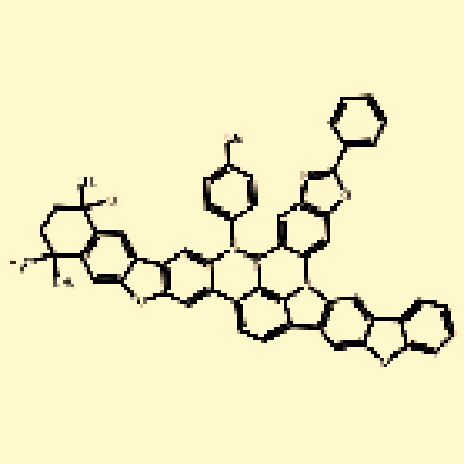 CC(C)(C)c1ccc(N2B3c4cc5nc(-c6ccccc6)oc5cc4-n4c5cc6c(cc5c5ccc(c3c54)-c3cc4sc5cc7c(cc5c4cc32)C(C)(C)CCC7(C)C)oc2ccccc26)cc1